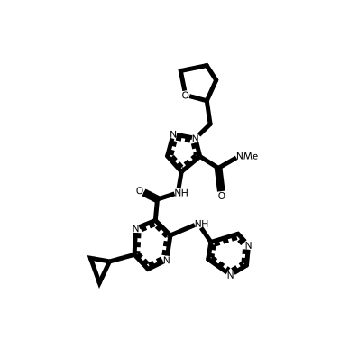 CNC(=O)c1c(NC(=O)c2nc(C3CC3)cnc2Nc2cncnc2)cnn1CC1CCCO1